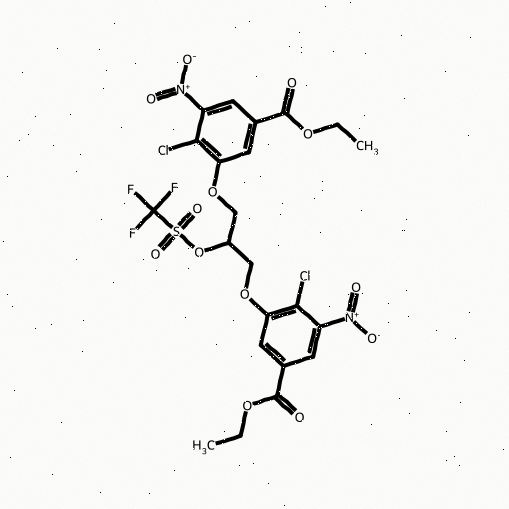 CCOC(=O)c1cc(OCC(COc2cc(C(=O)OCC)cc([N+](=O)[O-])c2Cl)OS(=O)(=O)C(F)(F)F)c(Cl)c([N+](=O)[O-])c1